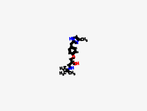 Cc1c[nH]c(Cc2ccc(OC[C@@H](O)CNC(C)(C)C)cc2)n1